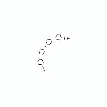 Nc1cc(Oc2ccc(C(c3ccc(Oc4ccc(C(F)(F)C(F)(F)C(F)(F)F)c(N)c4)cc3)(C(F)(F)F)C(F)(F)F)cc2)ccc1C(F)(F)C(F)(F)C(F)(F)F